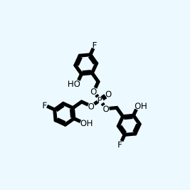 O=P(OCc1cc(F)ccc1O)(OCc1cc(F)ccc1O)OCc1cc(F)ccc1O